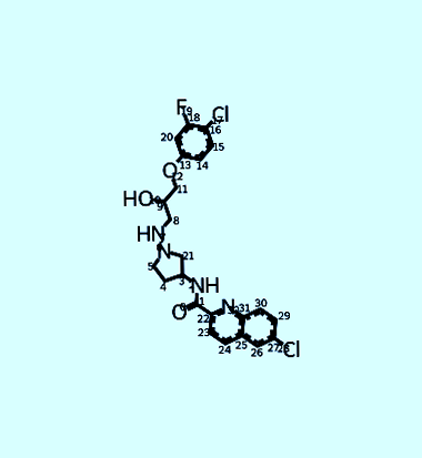 O=C(NC1CCN(NCC(O)COc2ccc(Cl)c(F)c2)C1)c1ccc2cc(Cl)ccc2n1